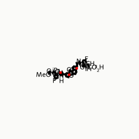 COC(=O)N[C@H](C(=O)N1C[C@H](F)C[C@H]1c1ncc(-c2ccc3oc4ccc5cc(-c6cnc([C@@H]7C[C@@H](F)CN7C(=O)[C@H](C(C)C)N(C)C(=O)O)[nH]6)ccc5c4c(=O)c3c2)[nH]1)C(C)C